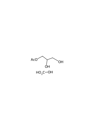 CC(=O)OCC(O)CO.O=C(O)O